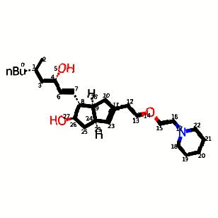 CCCC[C@H](C)C[C@H](O)/C=C/[C@@H]1[C@H]2CC(CCOCCN3CCCCC3)=C[C@H]2C[C@H]1O